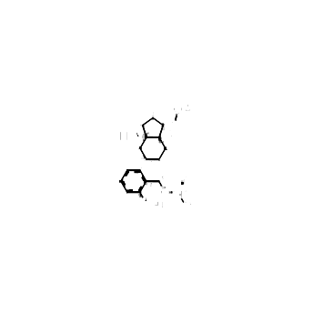 CC(=O)OC[C@H]1CC[C@]2(O)C[C@@H](c3cccc(C(C)(C)C)c3CO[SiH](C)C)CC[C@]12C